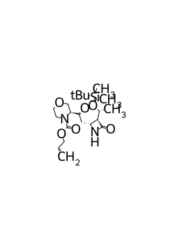 C=CCOC(=O)N1CCOC[C@H]1C(=O)C[C@H]1NC(=O)[C@@H]1[C@@H](C)O[Si](C)(C)C(C)(C)C